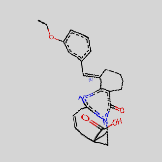 CCOc1cccc(/C=C2\CCCc3c2nc2n(c3=O)C3CC3(C(=O)O)C=C2)c1